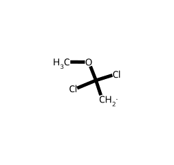 [CH2]C(Cl)(Cl)OC